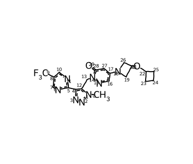 Cn1nnc(-c2ncc(C(F)(F)F)cn2)c1Cn1ncc(N2CC(OC3CCC3)C2)cc1=O